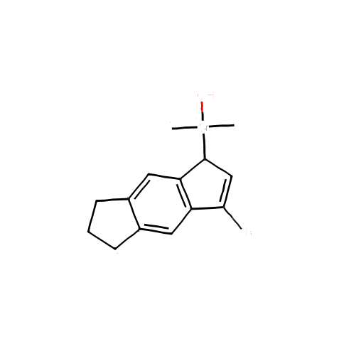 CCC(C)C1=CC([Si](C)(C)O)c2cc3c(cc21)CCC3